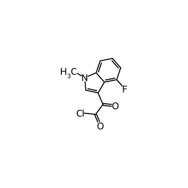 Cn1cc(C(=O)C(=O)Cl)c2c(F)cccc21